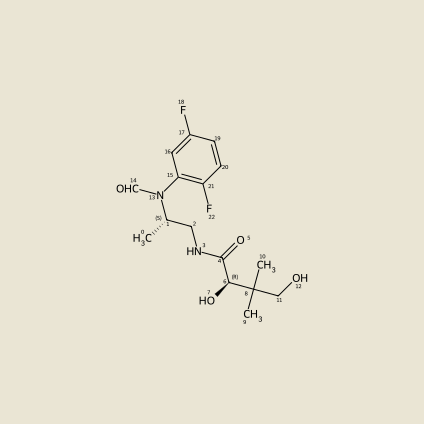 C[C@@H](CNC(=O)[C@H](O)C(C)(C)CO)N(C=O)c1cc(F)ccc1F